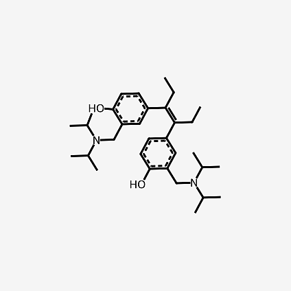 CCC(=C(CC)c1ccc(O)c(CN(C(C)C)C(C)C)c1)c1ccc(O)c(CN(C(C)C)C(C)C)c1